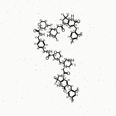 C[C@@H]1CN(CC(=O)N2CC(C)(C)c3[nH]c(=O)c(Cc4ccc(F)cc4F)cc32)[C@@H](CN2CCO[C@H](C(=O)NCc3ccc(CNC(=O)[C@@H]4CN(C[C@H]5CN[C@H](C)CN5CC(=O)N5CC(C)(C)c6[nH]c(=O)c(Cc7ccc(F)cc7F)cc65)CCO4)cc3)C2)CN1